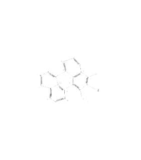 Bc1c(N)c(I)c2cccc3c4cccc5cccc(c1c23)c54